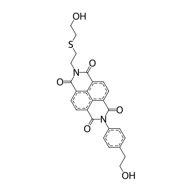 O=C1c2ccc3c4c(ccc(c24)C(=O)N1CCSCCO)C(=O)N(c1ccc(CCO)cc1)C3=O